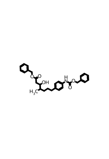 CC(CCCc1ccc(NC(=O)OCc2ccccc2)cc1)C(O)CC(=O)OCc1ccccc1